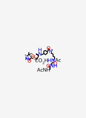 C=C(CC(SCCC(=O)N(C)[C@@H](C)C(C)=C=O)C(=O)O)NCC1CCC(C(=O)N(C)CCCCC(NC(=O)CNC(=O)CNC(C)=O)C(C)=O)CC1